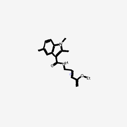 C=C(/C=C/CNC(=O)c1c(C)n(C)c2ccc(C)cc12)OCC